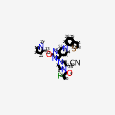 C=C(F)C(=O)N1CCN(c2nc(OC[C@@H]3CCCN3C)nc3c2CCN(c2cccc4c2SCC4)C3)C[C@@H]1CC#N